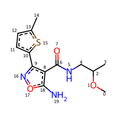 COC(C)CNC(=O)c1c(-c2ccc(C)s2)noc1N